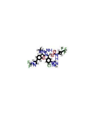 CC(C)(C)C[C@]1(c2ccc(-c3cnn(C(F)F)c3)cc2)NC(=N)N([C@H](COC(=O)NC23CC(C(F)(F)F)(C2)C3)c2ccc(Cl)c(-n3cncn3)c2)C1=O